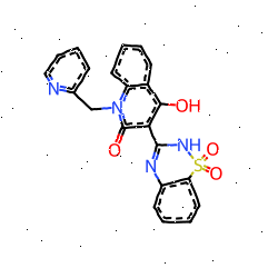 O=c1c(C2=Nc3ccccc3S(=O)(=O)N2)c(O)c2ccccc2n1Cc1ccccn1